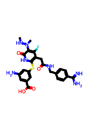 CNN(C)c1c(F)c(CC(=O)NCc2ccc(C(=N)N)cc2)c(Sc2cc(N)cc(C(=O)O)c2)[nH]c1=O